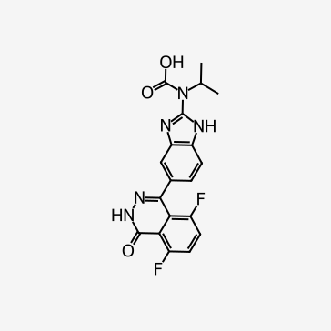 CC(C)N(C(=O)O)c1nc2cc(-c3n[nH]c(=O)c4c(F)ccc(F)c34)ccc2[nH]1